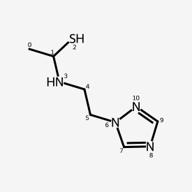 CC(S)NCCn1cncn1